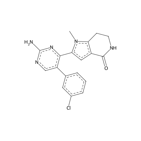 Cn1c(-c2nc(N)ncc2-c2cccc(Cl)c2)cc2c1CCNC2=O